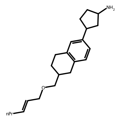 CCC/C=C/COCC1CCc2cc(C3CCC(N)C3)ccc2C1